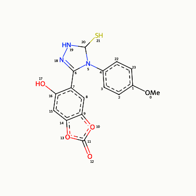 COc1ccc(N2C(c3cc4oc(=O)oc4cc3O)=NNC2S)cc1